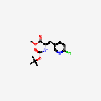 COC(=O)/C(=C/c1ccc(Cl)nc1)NC(=O)OC(C)(C)C